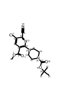 COC(=O)c1cc(Cl)c(C#N)nc1N1CCN(C(=O)OC(C)(C)C)CC1